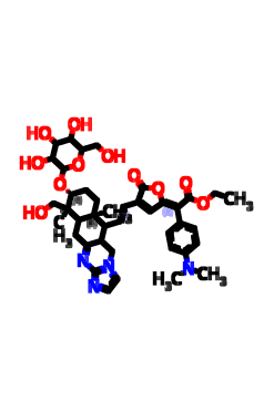 CCOC(=O)/C(=C1C=C(/C=C/C2C3Cn4ccnc4N=C3CC3[C@]2(C)CC[C@@H](OC2OC(CO)C(O)C(O)C2O)[C@@]3(C)CO)C(=O)O/1)c1ccc(N(C)C)cc1